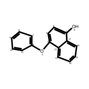 Oc1ccc(Oc2ccccc2)c2ccccc12